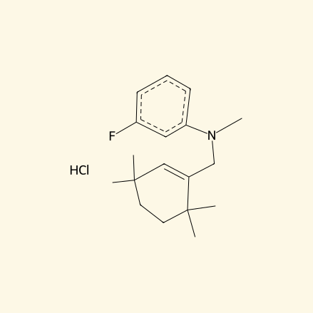 CN(CC1=CC(C)(C)CCC1(C)C)c1cccc(F)c1.Cl